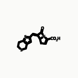 O=C(O)C1=CCC2/C(=C\c3cc4c(s3)CCSC4)C(=O)N12